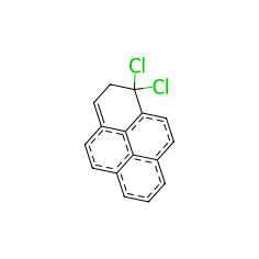 ClC1(Cl)CC=c2ccc3cccc4ccc1c2c43